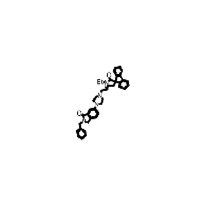 CCNC(=O)C1(CCCCN2CCN(c3ccc4c(c3)C(=O)N(Cc3ccccc3)C4)CC2)c2ccccc2-c2ccccc21